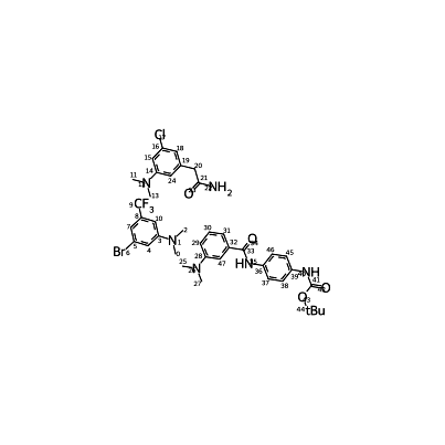 CN(C)c1cc(Br)cc(C(F)(F)F)c1.CN(C)c1cc(Cl)cc(CC(N)=O)c1.CN(C)c1cccc(C(=O)Nc2ccc(NC(=O)OC(C)(C)C)cc2)c1